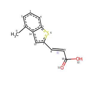 Cc1cccc2sc(/C=C/C(=O)O)cc12